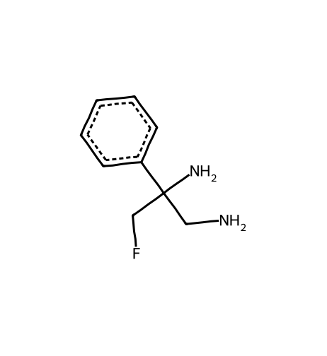 NCC(N)(CF)c1ccccc1